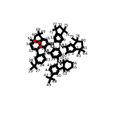 Cc1cc2c(cc1N1c3cc4c(cc3B3c5cc6c(cc5N(c5ccc(C(C)(C)C)cc5-c5ccccc5)c5cc(N7c8ccc(C(C)(C)C)cc8C8(C)CCCCC78C)cc1c53)C(C)(C)CC6(C)C)C(C)(C)CC4(C)C)C(C)(C)CCC2(C)C